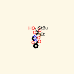 CCS[C@@H]1[C@H](O[Si](C)(C)C(C)(C)C)[C@@H](CO)O[C@H]1n1ccc(=O)n(C(=O)c2ccccc2)c1=O